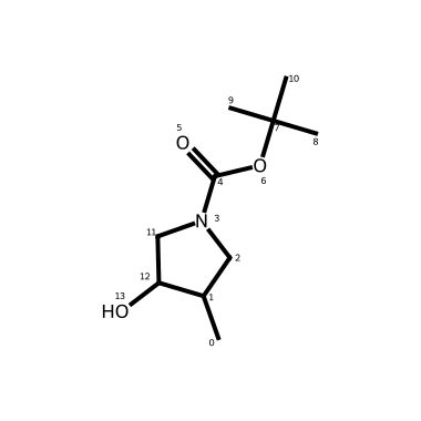 CC1CN(C(=O)OC(C)(C)C)CC1O